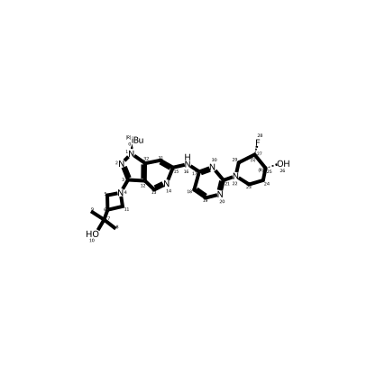 CC[C@@H](C)n1nc(N2CC(C(C)(C)O)C2)c2cnc(Nc3ccnc(N4CC[C@@H](O)[C@@H](F)C4)n3)cc21